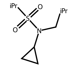 CC(C)CN(C1CC1)S(=O)(=O)C(C)C